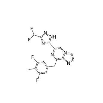 Cc1c(F)cc(Cc2nc(-c3nc(C(F)F)n[nH]3)cn3ccnc23)cc1F